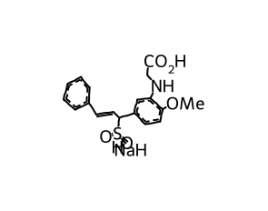 COc1ccc(C(C=Cc2ccccc2)[SH](=O)=O)cc1NCC(=O)O.[NaH]